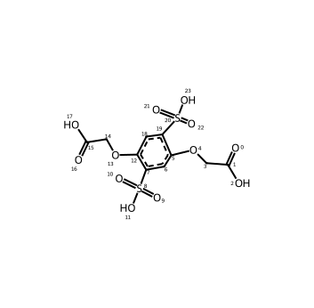 O=C(O)COc1cc(S(=O)(=O)O)c(OCC(=O)O)cc1S(=O)(=O)O